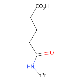 CCCNC(=O)CCCC(=O)O